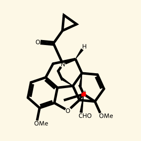 COc1ccc2c3c1O[C@H]1C4(OC)C=C[C@@]5(C[C@]4(C)C=O)[C@@H](C2)N(C(=O)C2CC2)CC[C@]315